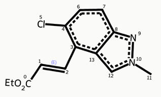 CCOC(=O)/C=C/c1c(Cl)ccc2nn(C)cc12